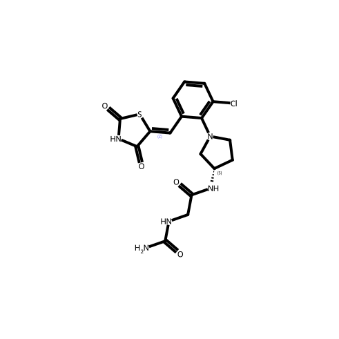 NC(=O)NCC(=O)N[C@H]1CCN(c2c(Cl)cccc2/C=C2\SC(=O)NC2=O)C1